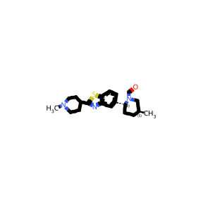 C[C@H]1CC[C@H](c2ccc3sc(C4CCN(C)CC4)nc3c2)N(C=O)C1